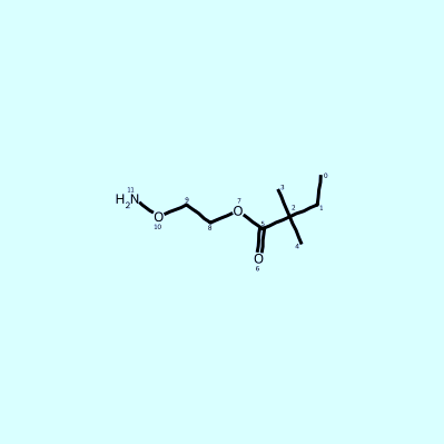 CCC(C)(C)C(=O)OCCON